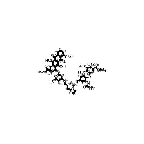 CCCC(=O)Nc1cc(COC(=O)N2CCOC2CCCNC2CC(OC3C[C@](O)(C(=O)CO)Cc4c(O)c5c(c(O)c43)C(=O)c3c(OC)cccc3C5=O)OC(C)C2O)ccc1OC1O[C@H](C(=O)OC)[C@@H](OC(C)=O)[C@H](OC(C)=O)[C@H]1C